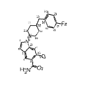 NC(=O)c1cc2ccn(N3CCC(Cc4ccc(F)cc4)CC3)c2cc1Cl